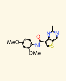 COc1ccc(NC(=O)c2csc3cnc(C)nc23)c(OC)c1